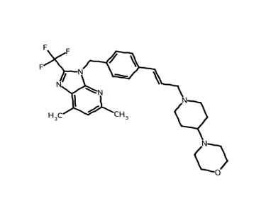 Cc1cc(C)c2nc(C(F)(F)F)n(Cc3ccc(C=CCN4CCC(N5CCOCC5)CC4)cc3)c2n1